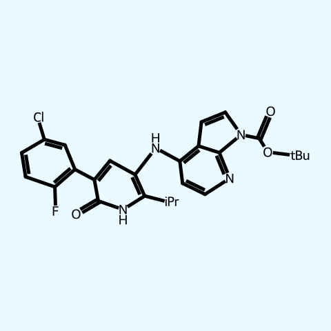 CC(C)c1[nH]c(=O)c(-c2cc(Cl)ccc2F)cc1Nc1ccnc2c1ccn2C(=O)OC(C)(C)C